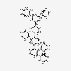 c1ccc(-c2nc(-c3cccc(-c4ccccn4)c3)c(-c3ccccc3)nc2-c2ccc(-c3cc(-c4ccccn4)nc(-c4ccccn4)c3)cc2)cc1